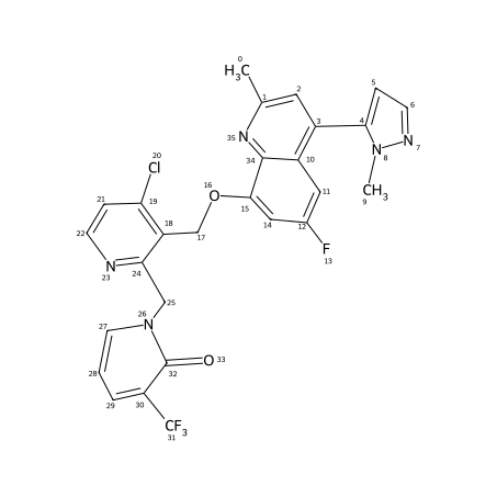 Cc1cc(-c2ccnn2C)c2cc(F)cc(OCc3c(Cl)ccnc3Cn3cccc(C(F)(F)F)c3=O)c2n1